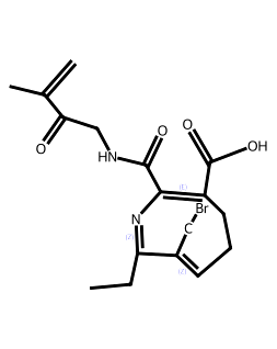 C=C(C)C(=O)CNC(=O)C1=C(\C(=O)O)CC/C=C(CBr)/C(CC)=N\1